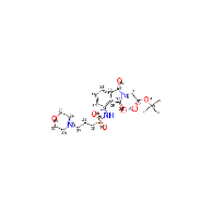 CC(C)(C)OC(=O)CN1C(=O)c2cccc(NS(=O)(=O)CCCN3CCOCC3)c2C1=O